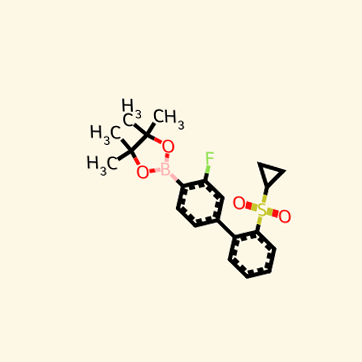 CC1(C)OB(c2ccc(-c3ccccc3S(=O)(=O)C3CC3)cc2F)OC1(C)C